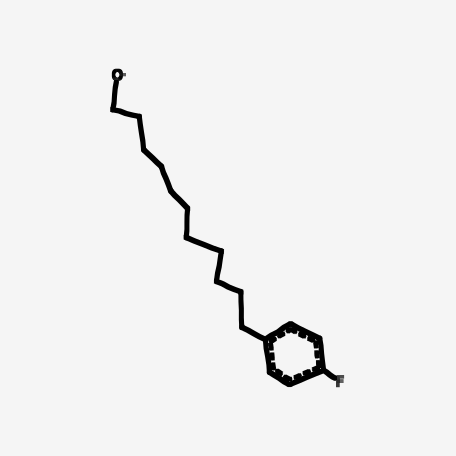 [O]CCCCCCCCCCCc1ccc(F)cc1